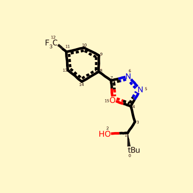 CC(C)(C)[C@@H](O)Cc1nnc(-c2ccc(C(F)(F)F)cc2)o1